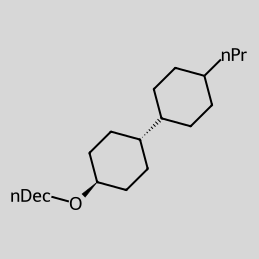 CCCCCCCCCCO[C@H]1CC[C@H](C2CCC(CCC)CC2)CC1